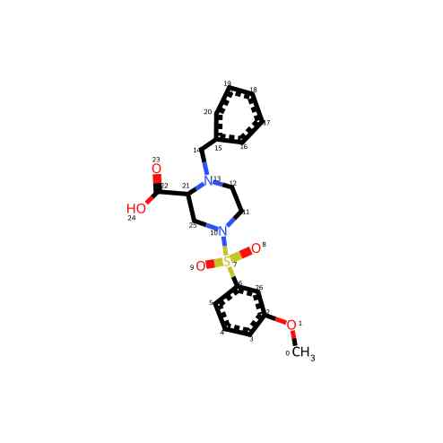 COc1cccc(S(=O)(=O)N2CCN(Cc3ccccc3)C(C(=O)O)C2)c1